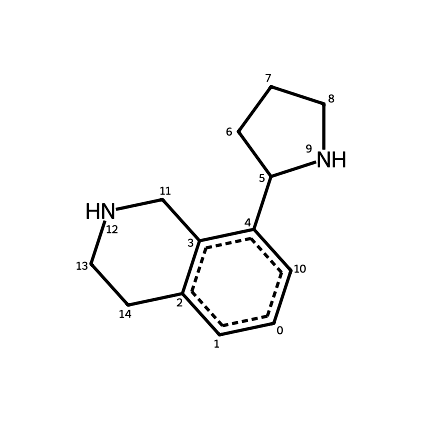 c1cc2c(c(C3CCCN3)c1)CNCC2